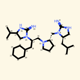 CC(C)C[C@@H]1CNC(=N)N1C[C@@H]1CCCN1C[C@@H](CC1CCCCC1)N1CC(C(C)C)NC1=N